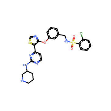 O=S(=O)(NCc1cccc(Oc2ncsc2-c2ccnc(NC3CCCNC3)n2)c1)c1ccccc1Cl